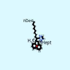 CCCCCCCCCCCCCCCCCCC(c1nccn1CCCCCCC)C(C)(Cc1ccccc1)c1ccccc1